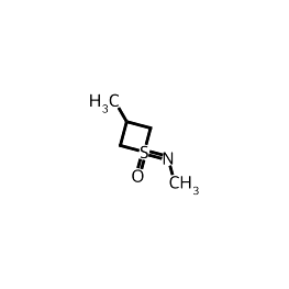 CN=S1(=O)CC(C)C1